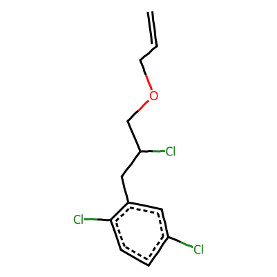 C=CCOCC(Cl)Cc1cc(Cl)ccc1Cl